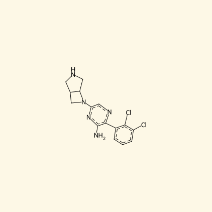 Nc1nc(N2CC3CNCC32)cnc1-c1cccc(Cl)c1Cl